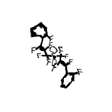 O=S(=O)(C(F)(F)C(F)=C(F)c1ccccc1F)C(F)(F)C(F)=C(F)c1ccccc1F